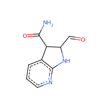 NC(=O)C1c2cccnc2NC1C=O